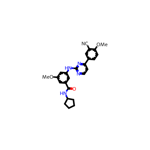 COc1cc(Nc2nccc(-c3ccc(OC)c(C#N)c3)n2)cc(C(=O)NC2CCCC2)c1